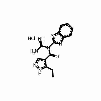 CCc1[nH]ncc1C(=O)N(C(=N)N)c1nc2ccccc2s1.Cl